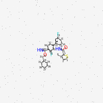 Cc1ccsc1C(=O)Nc1ccc(F)cc1-c1ccc(C(=N)OCc2ccccc2)c(F)c1